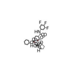 O=COCC1=CON(Cc2ccccc2)C1[C@]1(O)CC2CC[C@@H](C1)[C@H]2S(=O)(=O)c1cc(C(=O)Nc2cc(F)c(F)c(F)c2)ccc1Cl